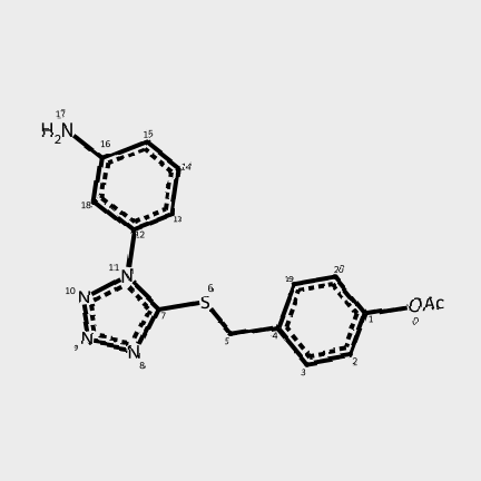 CC(=O)Oc1ccc(CSc2nnnn2-c2cccc(N)c2)cc1